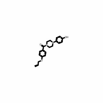 C=CCOc1ccc(C(=O)N2CCN(c3ccc(O)cc3)CC2)cc1